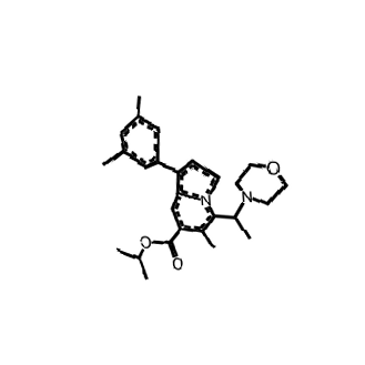 Cc1cc(C)cc(-c2ccn3c(C(C)N4CCOCC4)c(C)c(C(=O)OC(C)C)cc23)c1